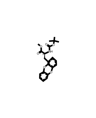 COC(=O)[C@H](Cc1cccc2c1Oc1ccccc1O2)NC(=O)OC(C)(C)C